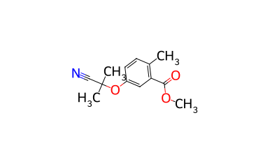 COC(=O)c1cc(OC(C)(C)C#N)ccc1C